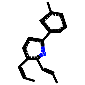 C/C=C\c1ccc(-c2cccc(C)c2)nc1/C=C/C